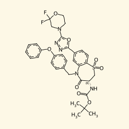 CC(C)(C)OC(=O)N[C@H]1CS(=O)(=O)c2ccc(-c3nnc(N4CCOC(F)(F)C4)o3)cc2N(Cc2ccc(Oc3ccccc3)cc2)C1=O